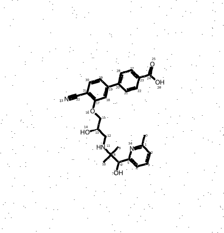 Cc1cccc(C(O)C(C)(C)NC[C@@H](O)COc2cc(-c3ccc(C(=O)O)cc3)ccc2C#N)n1